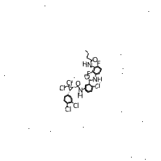 CCCC(=O)Nc1c(F)ccc(NC(=O)c2cc(NC(=O)[C@H]3[C@H](c4ccc(Cl)c(Cl)c4)C3(Cl)Cl)ccc2Cl)c1F